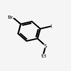 CCSc1ccc(Br)cc1I